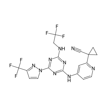 N#CC1(c2cc(Nc3nc(NCC(F)(F)F)nc(-n4ccc(C(F)(F)F)n4)n3)ccn2)CC1